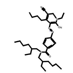 CCCCC1=C(C#N)CN(CC)C(O)=C1/N=N/c1ccc(C(=O)N(CC(CC)CCCC)CC(CC)CCCC)cc1